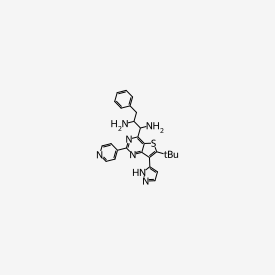 CC(C)(C)c1sc2c(C(N)C(N)Cc3ccccc3)nc(-c3ccncc3)nc2c1-c1ccn[nH]1